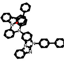 c1ccc(-c2ccc(N(c3ccc4c(c3)n3c5ccccc5nc3n4-c3ccc(-c4ccccc4)cc3)c3ccccc3-n3c4ccccc4c4ccccc43)cc2)cc1